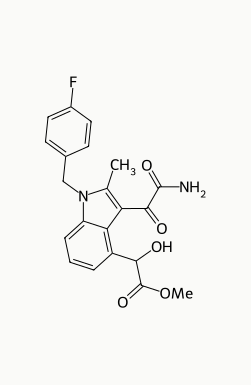 COC(=O)C(O)c1cccc2c1c(C(=O)C(N)=O)c(C)n2Cc1ccc(F)cc1